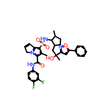 Cc1c(S(=O)(=O)NC2C(C)CCC2CC(C)(O)c2cc(-c3ccccc3)on2)c2n(c1C(=O)Nc1ccc(F)c(F)c1)CC=C2